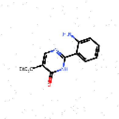 CCOC(=O)c1cnc(-c2ccccc2N)[nH]c1=O